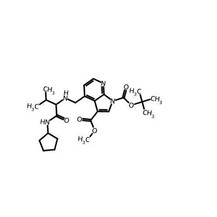 COC(=O)c1cn(C(=O)OC(C)(C)C)c2nccc(CNC(C(=O)NC3CCCC3)C(C)C)c12